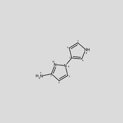 Nc1ccn(-c2cc[nH]c2)n1